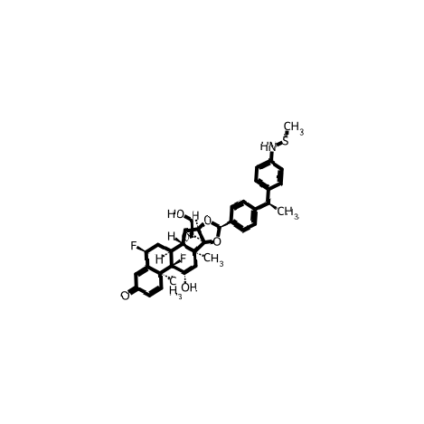 CSNc1ccc([C@@H](C)c2ccc([C@@H]3O[C@@H]4C[C@H]5[C@@H]6C[C@H](F)C7=CC(=O)C=C[C@]7(C)[C@@]6(F)[C@@H](O)C[C@]5(C)[C@]4(C(=O)CO)O3)cc2)cc1